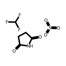 FC(F)F.O=C1CCC(=O)N1.O=S(=O)=O